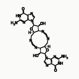 Nc1nc2c(ncn2[C@@H]2O[C@@H]3CN=C=NC4[C@@H](CN=C=NC3[C@@H]2O)O[C@@H](n2cnc3c(=O)[nH]c(N)nc32)[C@H]4O)c(=O)[nH]1